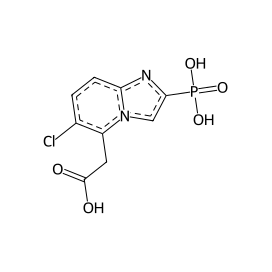 O=C(O)Cc1c(Cl)ccc2nc(P(=O)(O)O)cn12